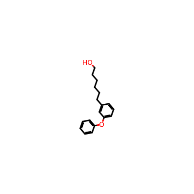 OCCCCCCc1cccc(Oc2ccccc2)c1